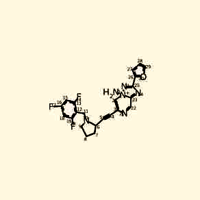 N[N@@+]12C=C(C#CC3CCCN3Cc3c(F)cc(F)cc3F)N=CC1=NC(c1ccco1)=N2